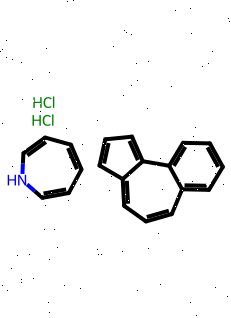 C1=CC=CNC=C1.Cl.Cl.c1cc2cccc3ccccc3c-2c1